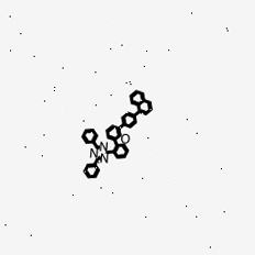 c1ccc(-c2nc(-c3ccccc3)nc(-c3cccc4oc5c(-c6ccc(-c7cccc8ccccc78)cc6)cccc5c34)n2)cc1